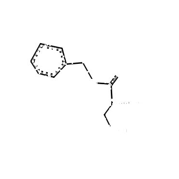 CCCCC[C@H](CC(=O)O)C(=O)OCc1ccccc1